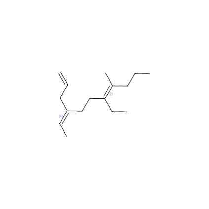 C=CC/C(=C/C)CC/C(CC)=C(\C)CCC